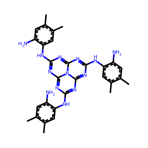 Cc1cc(N)c(NC2=NC3=NC(Nc4cc(C)c(C)cc4N)=NC4=NC(Nc5cc(C)c(C)cc5N)=NC(=N2)N34)cc1C